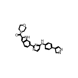 O=C(c1cc2ccc(-c3nccc(Nc4ccc(C5=CN=NC5)cc4)n3)cc2[nH]1)N1CCOCC1